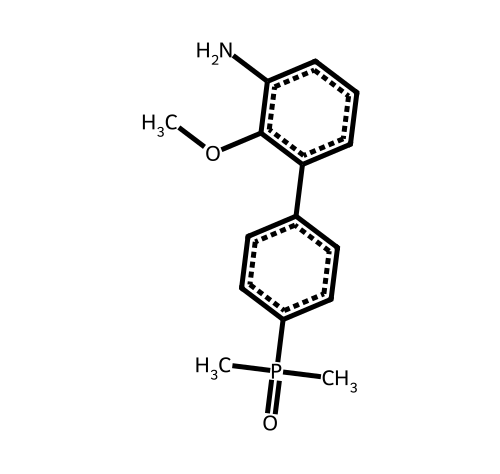 COc1c(N)cccc1-c1ccc(P(C)(C)=O)cc1